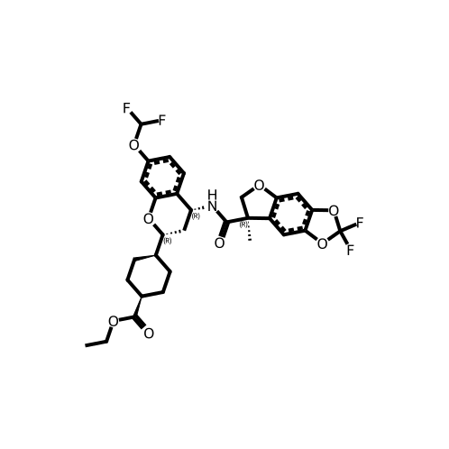 CCOC(=O)[C@H]1CC[C@@H]([C@H]2C[C@@H](NC(=O)[C@@]3(C)COc4cc5c(cc43)OC(F)(F)O5)c3ccc(OC(F)F)cc3O2)CC1